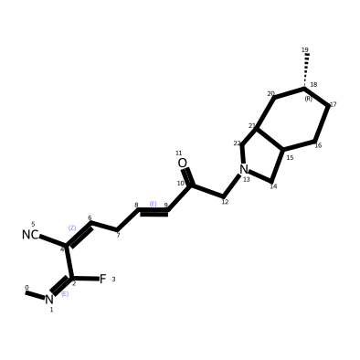 C/N=C(F)\C(C#N)=C/C/C=C/C(=O)CN1CC2CC[C@@H](C)CC2C1